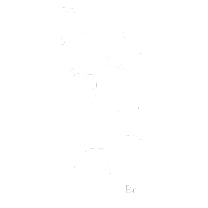 Brc1ccsc1-c1ccsc1-c1ccsc1-c1ccsc1-c1cccs1